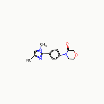 Cn1cc(C#N)nc1-c1ccc(N2CCOCC2=O)cc1